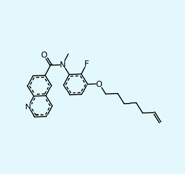 C=CCCCCCOc1cccc(N(C)C(=O)c2ccc3ncccc3c2)c1F